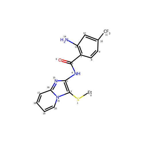 CCSc1c(NC(=O)c2ccc(C(F)(F)F)cc2N)nc2ccccn12